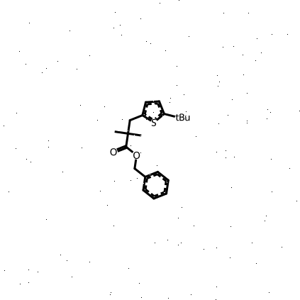 CC(C)(Cc1ccc(C(C)(C)C)s1)C(=O)OCc1ccccc1